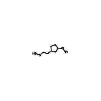 CC(C)OC1CCC(CCSS)C1